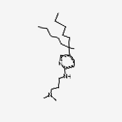 CCCCCC(C)(CCCCC)c1ccc(NCCCN(C)C)nc1